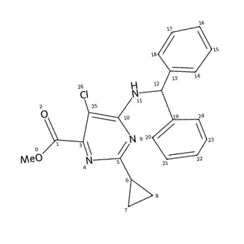 COC(=O)c1nc(C2CC2)nc(NC(c2ccccc2)c2ccccc2)c1Cl